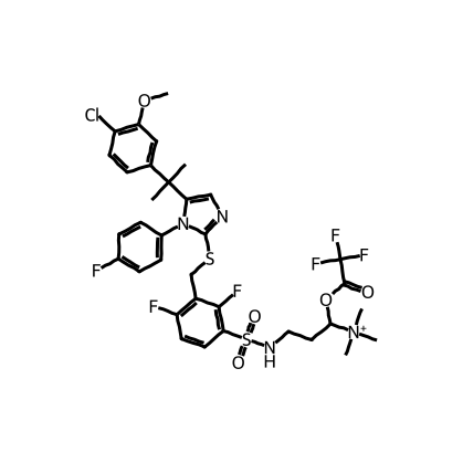 COc1cc(C(C)(C)c2cnc(SCc3c(F)ccc(S(=O)(=O)NCCC(OC(=O)C(F)(F)F)[N+](C)(C)C)c3F)n2-c2ccc(F)cc2)ccc1Cl